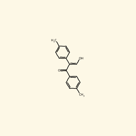 Cc1ccc(C(=O)C(=CO)c2ccc(C)cc2)cc1